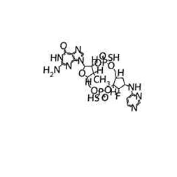 C[C@H]1[C@H]2OP(=O)(S)OC[C@H]3C[C@@H](Nc4ccncn4)[C@@H](F)[C@@H]3OP(=O)(S)OC[C@H]1O[C@H]2n1cnc2c(=O)[nH]c(N)nc21